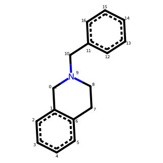 [CH]1c2ccccc2CCN1Cc1ccccc1